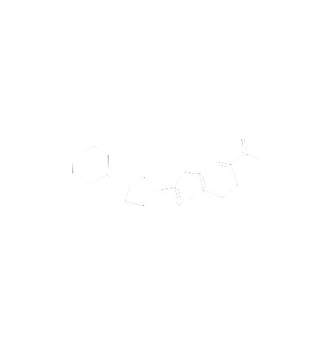 O=[N+]([O-])c1ccc2nc(N3CC[C@H](N4CCOCC4)C3)sc2c1